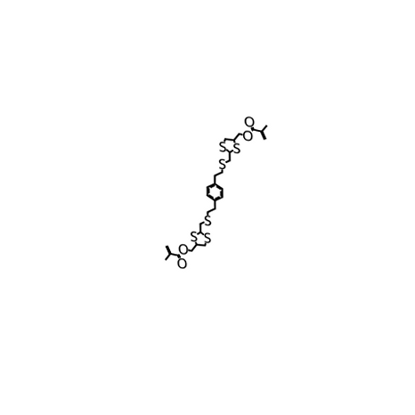 C=C(C)C(=O)OCC1CSC(CSCCc2ccc(CCSCC3SCC(COC(=O)C(=C)C)S3)cc2)S1